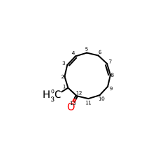 CC1CC=CCCC=CCCCC1=O